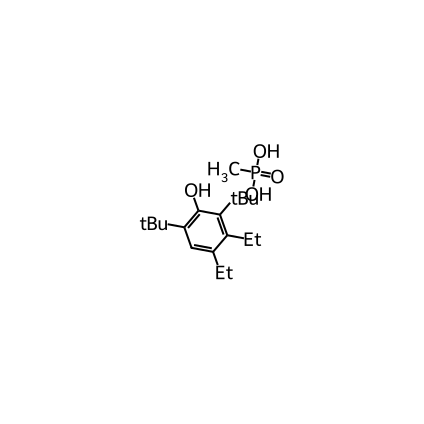 CCc1cc(C(C)(C)C)c(O)c(C(C)(C)C)c1CC.CP(=O)(O)O